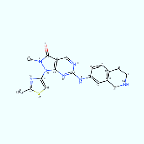 CCn1c(=O)c2cnc(Nc3ccc4c(c3)CNCC4)nc2n1-c1csc(C(C)(C)C)n1